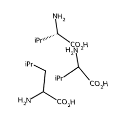 CC(C)C(N)C(=O)O.CC(C)CC(N)C(=O)O.CC(C)[C@H](N)C(=O)O